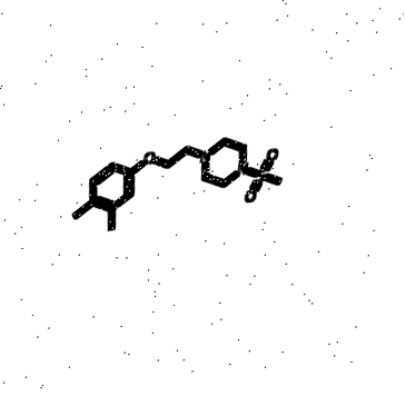 Cc1ccc(OCCN2CCN(S(C)(=O)=O)CC2)cc1C